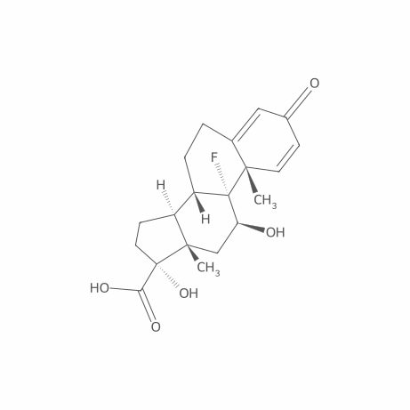 C[C@]12C=CC(=O)C=C1CC[C@H]1[C@@H]3CC[C@](O)(C(=O)O)[C@@]3(C)C[C@H](O)[C@@]12F